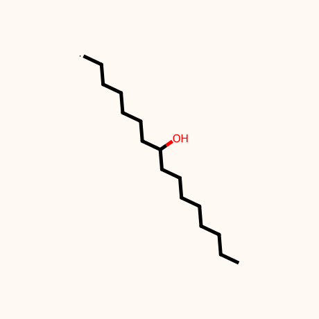 [CH2]CCCCCCC(O)CCCCCCCC